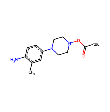 CC(C)(C)C(=O)ON1CCN(c2ccc(N)c(C(F)(F)F)c2)CC1